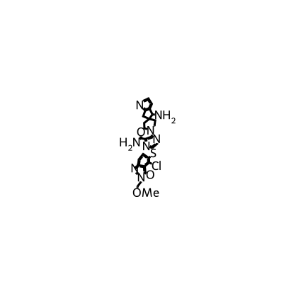 COCCn1cnc2ccc(Sc3cnc(N4CCC5(CC4)Cc4ncccc4C5N)c(C(N)=O)n3)c(Cl)c2c1=O